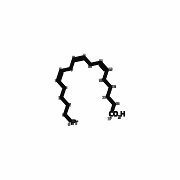 CC(C)CCCC/C=C\C/C=C\C/C=C\CCCCC(=O)O